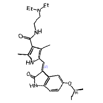 CCN(CC)CCNC(=O)c1c(C)[nH]c(/C=C2\C(=O)Nc3ccc(O[C@@H](C)I)cc32)c1C